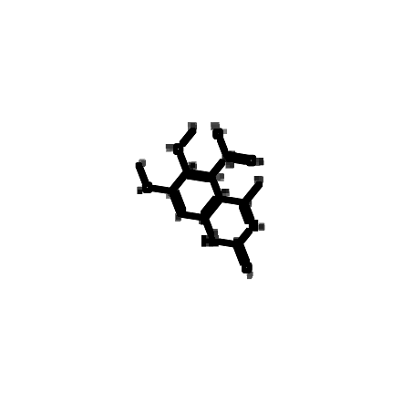 COc1cc2[nH]c(=O)nc(C)c2c([N+](=O)[O-])c1OC